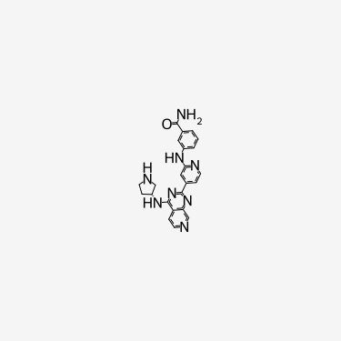 NC(=O)c1cccc(Nc2cc(-c3nc(N[C@@H]4CCNC4)c4ccncc4n3)ccn2)c1